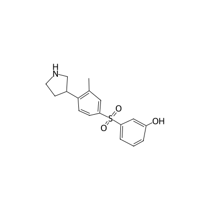 Cc1cc(S(=O)(=O)c2cccc(O)c2)ccc1C1CCNC1